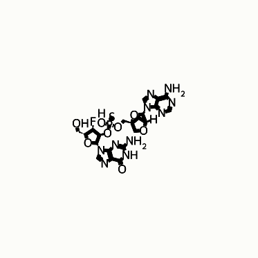 Nc1nc2c(ncn2[C@@H]2O[C@H](CO)[C@H](F)[C@H]2OP(O)(=S)OC[C@]23CO[C@H](C2)[C@H](n2cnc4c(N)ncnc42)O3)c(=O)[nH]1